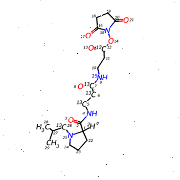 [2H]C1(C(=O)N[13CH2][13CH2][13C](=O)[15NH]CC[13C](=O)ON2C(=O)CCC2=O)CCCN1[13CH2]C(C)C